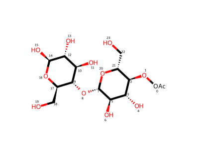 CC(=O)OO[C@H]1[C@H](O)[C@@H](O)[C@H](O[C@H]2[C@H](O)[C@@H](O)[C@H](O)O[C@@H]2CO)O[C@@H]1CO